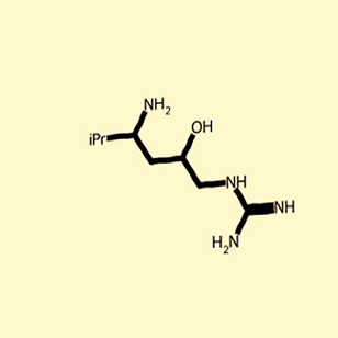 CC(C)C(N)CC(O)CNC(=N)N